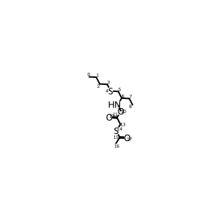 CCCCSCC(CC)NOC(=O)CSC(C)=O